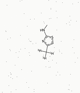 [2H]C([2H])([2H])c1csc(NC)n1